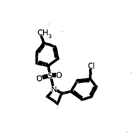 Cc1ccc(S(=O)(=O)N2CCC2c2cccc(Cl)c2)cc1